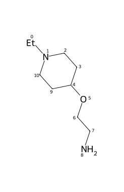 CCN1CCC(OCCN)CC1